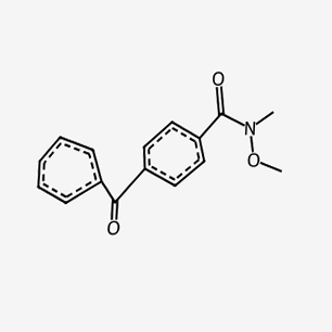 CON(C)C(=O)c1ccc(C(=O)c2ccccc2)cc1